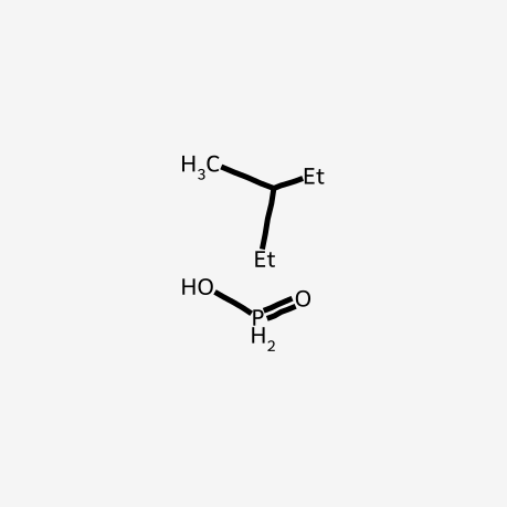 CCC(C)CC.O=[PH2]O